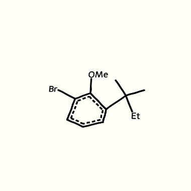 CCC(C)(C)c1cccc(Br)c1OC